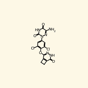 Nc1nn(-c2cc(Cl)c(Oc3n[nH]c(=O)c4c3CC4)c(Cl)c2)c(=O)[nH]c1=O